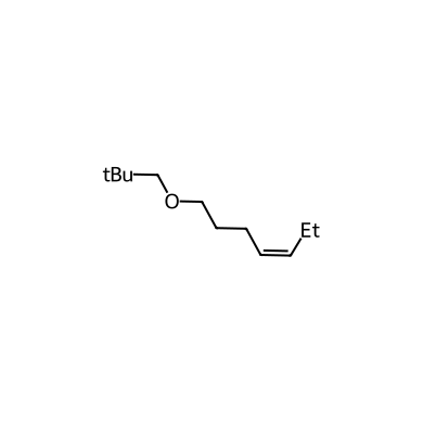 CC/C=C\CCCOCC(C)(C)C